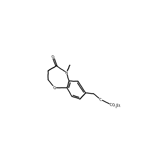 CCOC(=O)CCc1ccc2c(c1)N(C)C(=O)CCO2